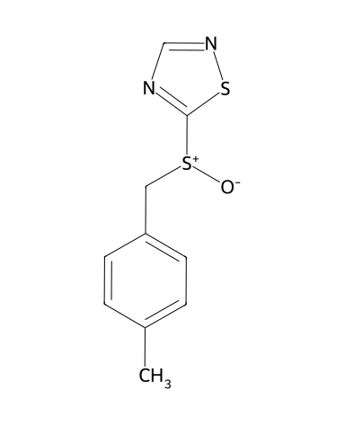 Cc1ccc(C[S+]([O-])c2ncns2)cc1